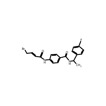 CC(NC(=O)c1ccc(NC(=O)C=CCBr)cc1)c1ccc(F)cc1